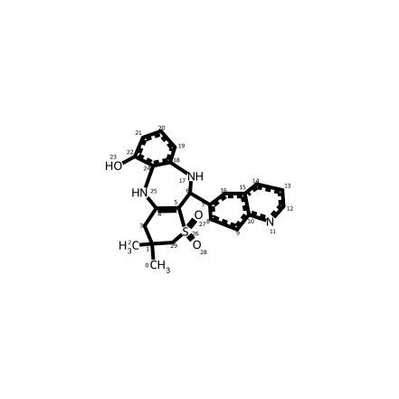 CC1(C)CC2=C(C(c3ccc4ncccc4c3)Nc3cccc(O)c3N2)S(=O)(=O)C1